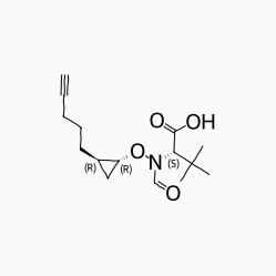 C#CCCC[C@@H]1C[C@H]1ON(C=O)[C@H](C(=O)O)C(C)(C)C